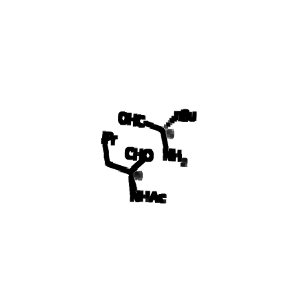 CC(=O)N[C@H](C=O)CC(C)C.CCCC[C@H](N)C=O